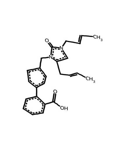 C/C=C/Cc1cn(C/C=C/C)c(=O)n1Cc1ccc(-c2ccccc2C(=O)O)cc1